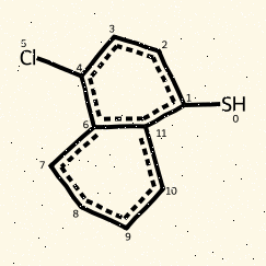 Sc1ccc(Cl)c2ccccc12